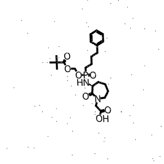 CC(C)(C)C(=O)OCOP(=O)(CCCCc1ccccc1)N[C@H]1CCCCN(CC(=O)O)C1=O